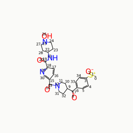 C[S+]([O-])c1ccc(C(=O)C2CCN(C(=O)c3ccc(C(=O)NC4CCN(O)CC4)nc3)CC2)cc1